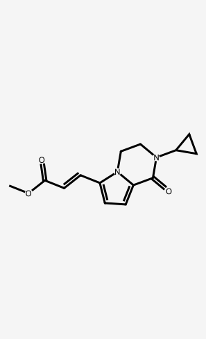 COC(=O)/C=C/c1ccc2n1CCN(C1CC1)C2=O